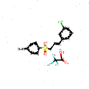 CNc1ccc(S(=O)(=O)CC=Cc2cccc(Cl)c2)cc1.O=C(O)C(F)(F)F